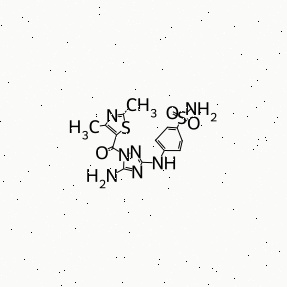 Cc1nc(C)c(C(=O)n2nc(Nc3ccc(S(N)(=O)=O)cc3)nc2N)s1